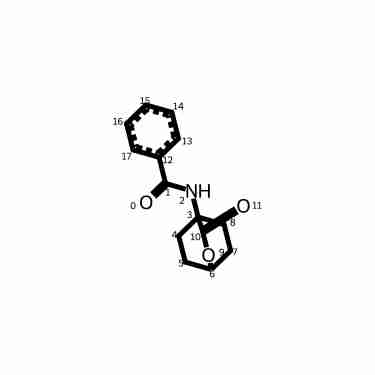 O=C(NC12CCC(CC1)OC2=O)c1ccccc1